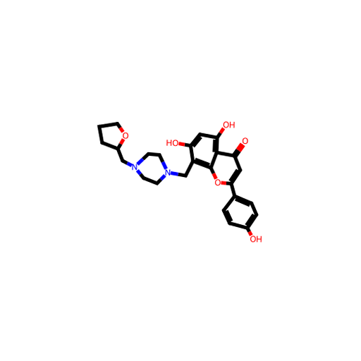 O=c1cc(-c2ccc(O)cc2)oc2c(CN3CCN(CC4CCCO4)CC3)c(O)cc(O)c12